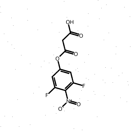 O=C(O)CC(=O)Oc1cc(F)c([N+](=O)[O-])c(F)c1